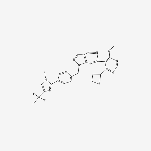 COc1ncnc(C2CCC2)c1-c1ncc2cnn(Cc3ccc(-c4nc(C(F)(F)F)cn4C)cc3)c2n1